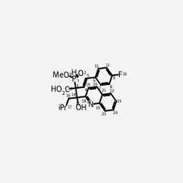 CO[PH](=O)C(C=Cc1ccc(F)cc1)(C(=O)O)C(O)(CC(C)C)c1ccc2ccccc2n1